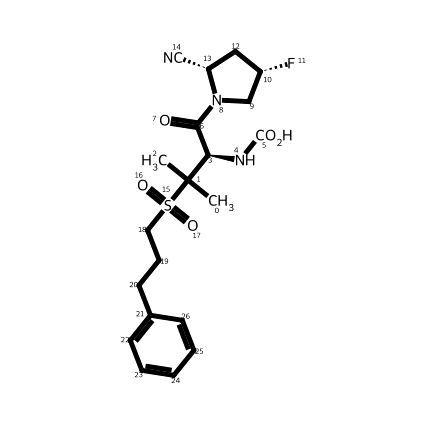 CC(C)([C@H](NC(=O)O)C(=O)N1C[C@@H](F)C[C@H]1C#N)S(=O)(=O)CCCc1ccccc1